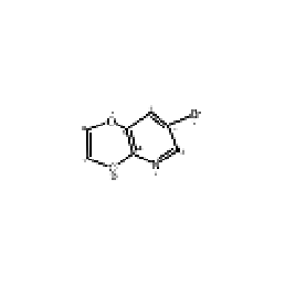 Brc1cnc2c(c1)OC=CO2